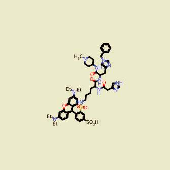 CCN(CC)c1ccc2c(-c3ccc(S(=O)(=O)O)cc3S(=O)(=O)NCCCCC(NC(=O)Cc3c[nH]cn3)C(=O)NC(Cc3cn(Cc4ccccc4)cn3)C(=O)NC3CCN(C)CC3)c3ccc(=[N+](CC)CC)cc-3oc2c1